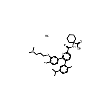 Cc1ccc(C(C)C)cc1-c1ccc(C(=O)NC2(C(=O)O)CCCCC2)nc1-c1ccc(Cl)c(OCCCN(C)C)c1.Cl